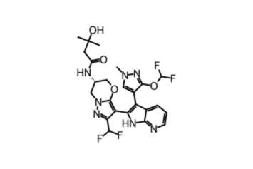 Cn1cc(-c2c(-c3c(C(F)F)nn4c3OC[C@@H](NC(=O)CC(C)(C)O)C4)[nH]c3ncccc23)c(OC(F)F)n1